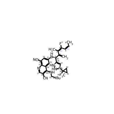 C=C(/C(C)=C(F)\C=C/C)[C@H](Nc1cc(C#N)c2ncc(C#N)c(NCC(C)(C)C)c2c1)C1=CN(C2(C(F)(F)F)CC2)NN1